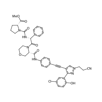 COC(=O)[C@H]1CCCN1C(=O)N[C@@H](C(=O)N1CCOC[C@H]1C(=O)Nc1ccc(C#Cc2cn(CCC#N)nc2-c2cc(Cl)ccc2O)cc1)c1ccccc1